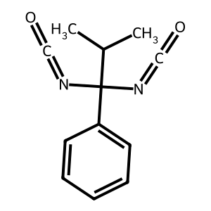 CC(C)C(N=C=O)(N=C=O)c1ccccc1